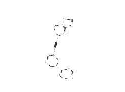 C(#Cc1ccn2nccc2n1)c1cncc(-c2ccncc2)c1